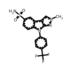 Cn1cc2c3cc(S(N)(=O)=O)ccc3n(-c3ccc(C(F)(F)F)cc3)c2n1